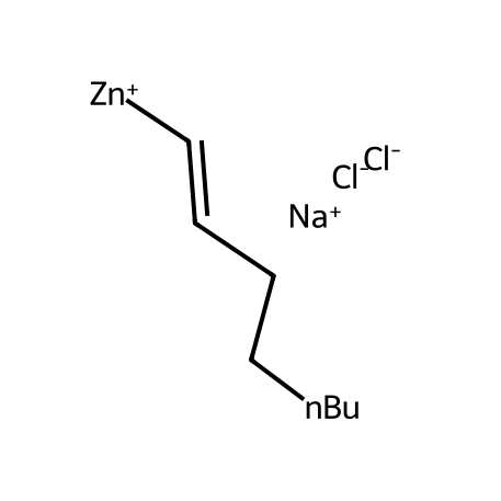 CCCCCCC=[CH][Zn+].[Cl-].[Cl-].[Na+]